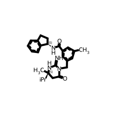 Cc1cc(CN2C(=N)N[C@](C)(C(C)C)CC2=O)cc(C(=O)N[C@H]2CCc3ccccc32)c1